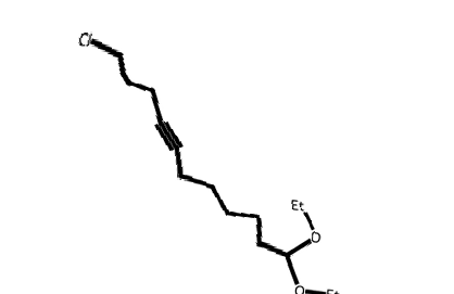 CCOC(CCCCCC#CCCCCl)OCC